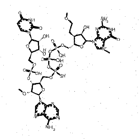 COCC[C@@H]1[C@@H](COP(=O)(O)OP(=O)(O)OP(=O)(S)OC[C@H]2O[C@@H](n3cnc4c(N)ncnc43)[C@H](OC)[C@@H]2OP(=O)(O)OC[C@H]2O[C@@H](n3ccc(=O)[nH]c3=O)[C@H](O)[C@@H]2O)OC(n2c[n+](C)c3c(=O)[nH]c(N)nc32)[C@@H]1O